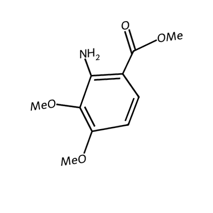 COC(=O)c1ccc(OC)c(OC)c1N